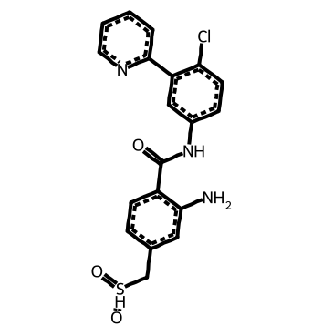 Nc1cc(C[SH](=O)=O)ccc1C(=O)Nc1ccc(Cl)c(-c2ccccn2)c1